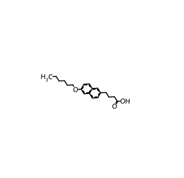 CCCCCCOc1ccc2cc(CCCC(=O)O)ccc2c1